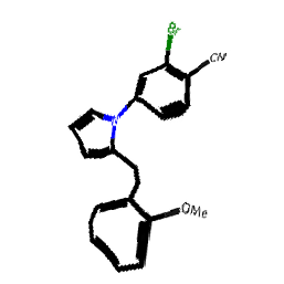 COc1ccccc1Cc1cccn1-c1ccc(C#N)c(Br)c1